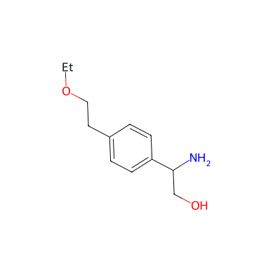 CCOCCc1ccc(C(N)CO)cc1